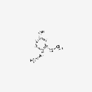 C=Nc1ccc(S)cc1SC